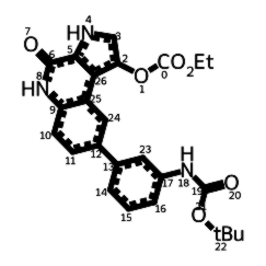 CCOC(=O)Oc1c[nH]c2c(=O)[nH]c3ccc(-c4cccc(NC(=O)OC(C)(C)C)c4)cc3c12